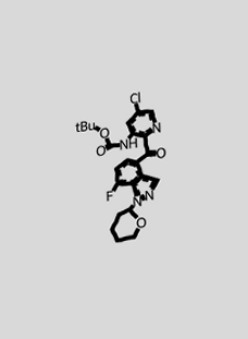 CC(C)(C)OC(=O)Nc1cc(Cl)cnc1C(=O)c1ccc(F)c2c1cnn2C1CCCCO1